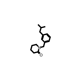 CC(C)Cc1cccc(CN2CCCCC2=O)c1